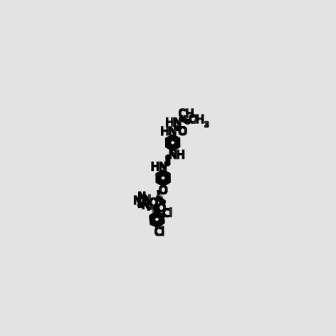 CCC(C)NC(=O)Nc1ccc(NCCNc2ccc(OC[C@@H]3CO[C@@](Cn4cnnn4)(c4ccc(Cl)cc4Cl)O3)cc2)cc1